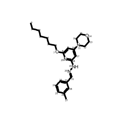 CCCCCCCOc1cc(N2CCOCC2)cc(NN=Cc2cccc(C)c2)n1